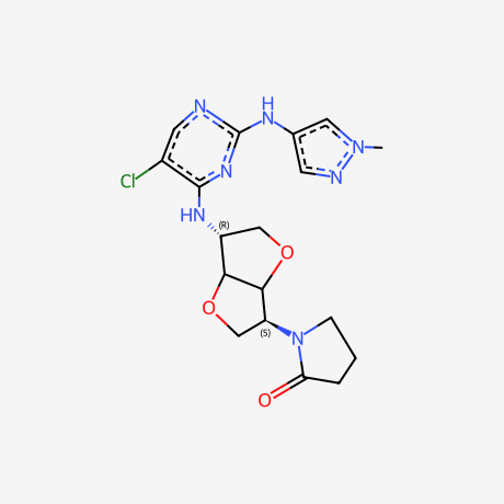 Cn1cc(Nc2ncc(Cl)c(N[C@@H]3COC4C3OC[C@@H]4N3CCCC3=O)n2)cn1